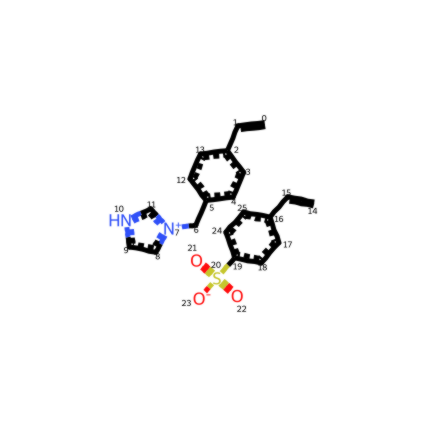 C=Cc1ccc(C[n+]2cc[nH]c2)cc1.C=Cc1ccc(S(=O)(=O)[O-])cc1